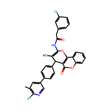 Cc1cc(-c2ccc(C3C(C#N)=C(NC(=O)Cc4cccc(Cl)c4)Oc4c3c(=O)oc3ccccc43)cc2)cnc1F